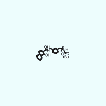 CC(C)(Cc1cccc(CNC(=O)c2ccc3ccccc3c2O)c1)NC(=O)OC(C)(C)C